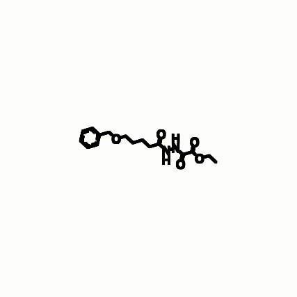 CCOC(=O)C(=O)NNC(=O)CCCCOCc1ccccc1